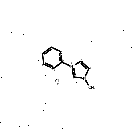 Cn1cc[n+](-c2ccccc2)c1.[Cl-]